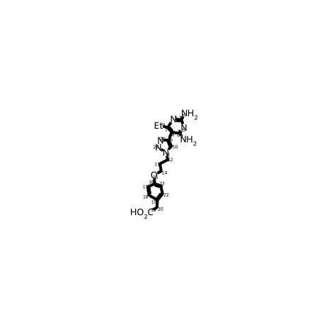 CCc1nc(N)nc(N)c1-c1cn(CCCOc2ccc(CC(=O)O)cc2)nn1